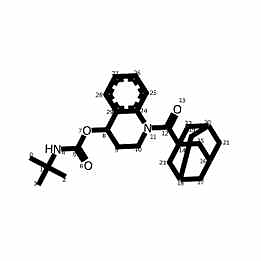 CC(C)(C)NC(=O)OC1CCN(C(=O)C23CC4CC(CC(C4)C2)C3)c2ccccc21